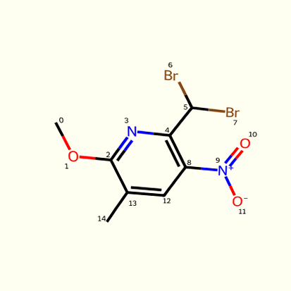 COc1nc(C(Br)Br)c([N+](=O)[O-])cc1C